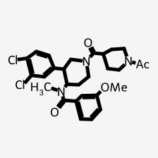 COc1cccc(C(=O)N(C)C2CCN(C(=O)C3CCN(C(C)=O)CC3)CC2c2ccc(Cl)c(Cl)c2)c1